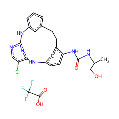 CC(CO)NC(=O)Nc1ccc2cc1CCc1cccc(c1)Nc1ncc(Cl)c(n1)N2.O=C(O)C(F)(F)F